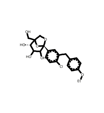 CCOc1ccc(Cc2cc([C@]34OCC(CO)(O3)[C@@H](O)C(O)C4O)ccc2Cl)cc1